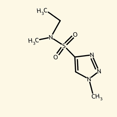 CCN(C)S(=O)(=O)c1cn(C)nn1